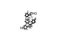 Cc1cccc(Oc2nccc(-c3c(-c4ccc(F)cc4)ncn3C3CCNCC3)n2)c1N(C)C=O